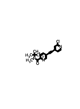 CN(C(=O)c1ccc(C#Cc2ccnc(Cl)c2)cn1)C(C)(C)C